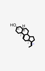 C/C=C1/CCC2C3CC[C@@H]4C[C@@H](O)CC[C@]4(C)C3=CC[C@]12C